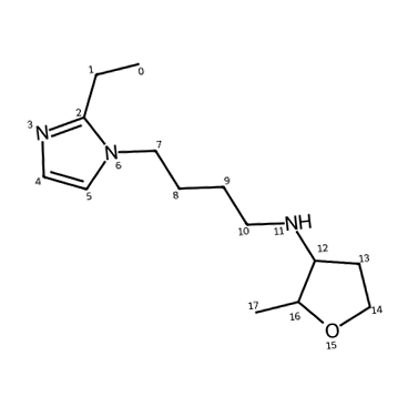 CCc1nccn1CCCCNC1CCOC1C